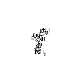 CCC1=C(N(CC)c2ccc3c(=O)[nH]ccc3c2)NCC(C(=O)CN2CCC(C)(F)CC2)=C1